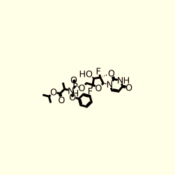 CC(C)OC(=O)C(C)N(Oc1ccccc1)[P@@H](=O)OC[C@@]1(F)O[C@@H](n2ccc(=O)[nH]c2=O)[C@](C)(F)[C@@H]1O